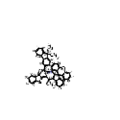 C=C(C1=C(/C=C\C)C2(c3ccccc3Oc3ccccc32)c2ccccc21)c1nc(-c2ccc3c(c2)-c2ccccc2C3(C)C)nc2c1sc1ccccc12